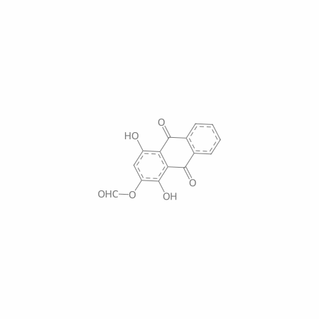 O=COc1cc(O)c2c(c1O)C(=O)c1ccccc1C2=O